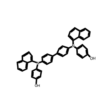 Oc1ccc(N(c2ccc(-c3ccc(N(c4ccc(O)cc4)c4cccc5ccccc45)cc3)cc2)c2cccc3ccccc23)cc1